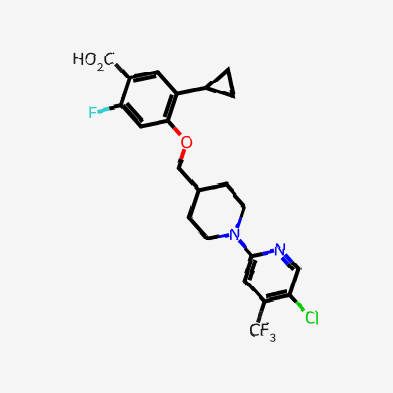 O=C(O)c1cc(C2CC2)c(OCC2CCN(c3cc(C(F)(F)F)c(Cl)cn3)CC2)cc1F